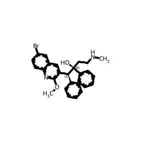 CNCC[C@](O)(c1ccccc1)[C@@H](c1ccccc1)c1cc2cc(Br)ccc2nc1OC